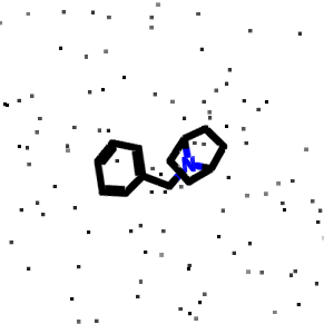 c1ccc(CN2C3CCC2CC3)cc1